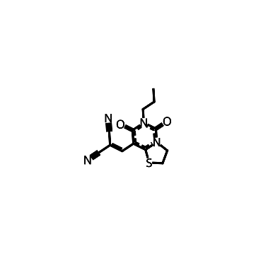 CCCn1c(=O)c(C=C(C#N)C#N)c2n(c1=O)CCS2